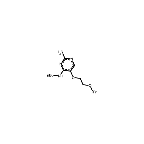 CCCCNc1nc(N)ncc1OCCOC(C)C